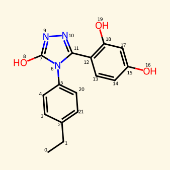 CCc1ccc(-n2c(O)nnc2-c2ccc(O)cc2O)cc1